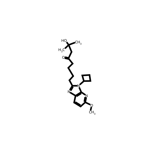 COc1ccc2nc(CCCCC(=O)CC(C)(C)O)n(C3CCC3)c2n1